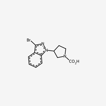 O=C(O)N1CCC(n2nc(Br)c3ccccc32)C1